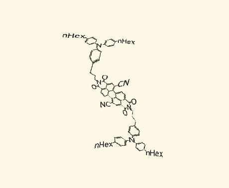 CCCCCCc1ccc(N(c2ccc(CCCCCC)cc2)c2ccc(CCCN3C(=O)c4ccc5c6c(C#N)cc7c8c(ccc(c9c(C#N)cc(c4c59)C3=O)c86)C(=O)N(CCCc3ccc(N(c4ccc(CCCCCC)cc4)c4ccc(CCCCCC)cc4)cc3)C7=O)cc2)cc1